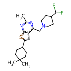 Cc1nc(CN2CCC(C(F)F)CC2)c2cc(C3CCC(C)(C)CC3)sc2n1